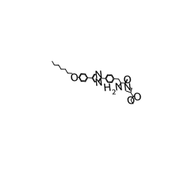 CCCCCCCOc1ccc(-c2cnc(-c3ccc(CC(N)C(=O)N4CC(C(=O)OC)C4)cc3)nc2)cc1